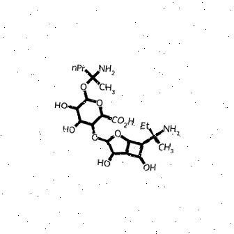 CCCC(C)(N)OC1OC(C(=O)O)C(OC2OC3C(C2O)C(O)C3[C@@](C)(N)CC)C(O)C1O